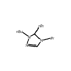 CCCCN1N=CN(C(C)C)C1CCC